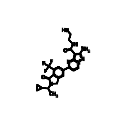 CC(C1CC1)N1Cc2cc(-c3ccn4nc(N)c(C(=O)NCCO)c4n3)cc(C(F)(F)F)c2C1=O